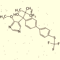 COc1ncncc1C(O)(c1ccc(-c2ccc(SC(F)(F)F)cc2)cc1F)C(C)(C)C